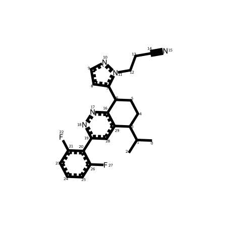 CC(C)C1CCC(c2ccnn2CCC#N)c2nnc(-c3c(F)cccc3F)cc21